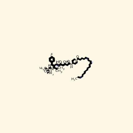 CC/C=C\CC=CCC=CC/C=C\C/C=C\CCCC(=O)N1CCC(NC(=O)C[C@H](O)C[C@H](O)/C=C/c2c(-c3ccc(F)cc3)nc(N(C)S(C)(=O)=O)nc2C(C)C)CC1